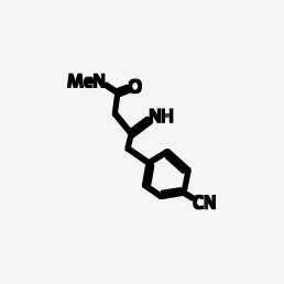 CNC(=O)CC(=N)Cc1ccc(C#N)cc1